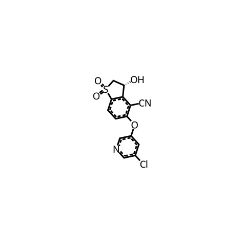 N#Cc1c(Oc2cncc(Cl)c2)ccc2c1[C@@H](O)CS2(=O)=O